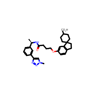 C[C@@H](NC(=O)CCCOc1ccc2c(c1)C1(CC2)CCC(C(=O)O)CC1)c1cccc(-c2cn(C)nn2)c1